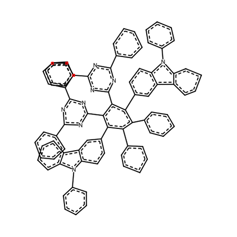 c1ccc(-c2nc(-c3ccccc3)nc(-c3c(-c4ccc5c(c4)c4ccccc4n5-c4ccccc4)c(-c4ccccc4)c(-c4ccccc4)c(-c4ccc5c(c4)c4ccccc4n5-c4ccccc4)c3-c3nc(-c4ccccc4)nc(-c4ccccc4)n3)n2)cc1